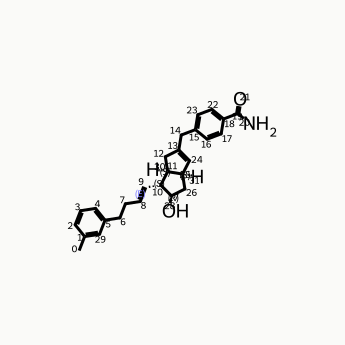 Cc1cccc(CC/C=C/[C@@H]2[C@H]3CC(Cc4ccc(C(N)=O)cc4)=C[C@H]3C[C@H]2O)c1